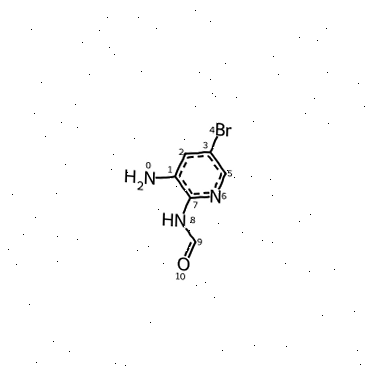 Nc1cc(Br)cnc1NC=O